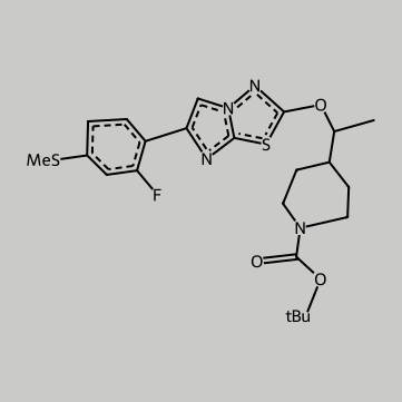 CSc1ccc(-c2cn3nc(OC(C)C4CCN(C(=O)OC(C)(C)C)CC4)sc3n2)c(F)c1